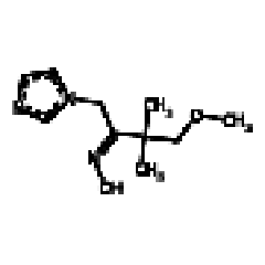 COCC(C)(C)C(Cn1ccnc1)=NO